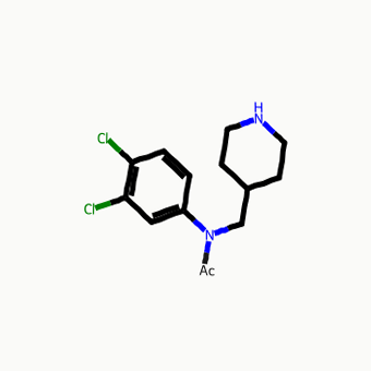 CC(=O)N(CC1CCNCC1)c1ccc(Cl)c(Cl)c1